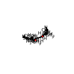 Cc1ncsc1-c1ccc([C@H](C)NC(=O)[C@@H]2C[C@@H](O)CN2C(=O)[C@@H](NC(=O)COCCCCCNC23CC(C(=O)NC4C(C)(C)C(Oc5ccc(C#N)c(Cl)c5)C4(C)C)(C2)C3)C(C)(C)C)cc1